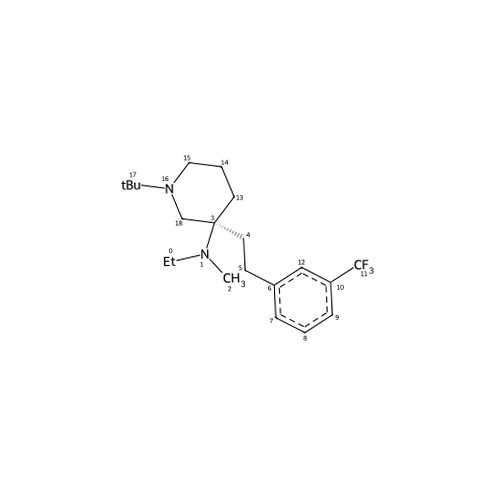 CCN(C)[C@]1(CCc2cccc(C(F)(F)F)c2)CCCN(C(C)(C)C)C1